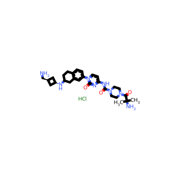 CC(C)(N)C(=O)N1CCN(C(=O)Nc2ccn(-c3ccc4c(c3)CC(N[C@H]3C[C@H](CN)C3)CC4)c(=O)n2)CC1.Cl